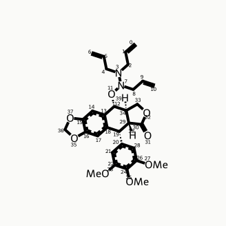 C=CCN(CC=C)N(CC=C)O[C@H]1c2cc3c(cc2[C@@H](c2cc(OC)c(OC)c(OC)c2)[C@H]2C(=O)OC[C@@H]21)OCO3